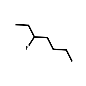 [CH2]CC(F)CCCC